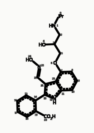 CC(C)NCC(O)COc1cccc2[nH]c(-c3ccccc3C(=O)O)c(C=NO)c12